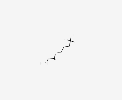 CC(C)(C)CCCOC(=O)CN